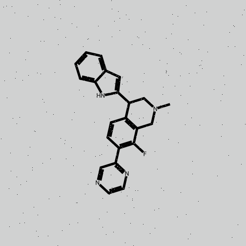 CN1Cc2c(ccc(-c3cnccn3)c2F)C(c2cc3ccccc3[nH]2)C1